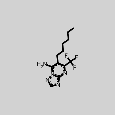 CCCCCCc1c(C(F)(F)F)nc2ncnn2c1N